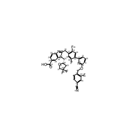 N#Cc1ccc(COc2cccc(-c3cc(F)c(Cc4nc5ccc(C(=O)O)cc5n4C[C@@H]4CC(F)(F)CO4)cc3F)n2)c(F)c1